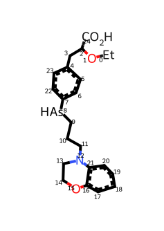 CCOC(Cc1ccc([AsH]CCCN2CCOc3ccccc32)cc1)C(=O)O